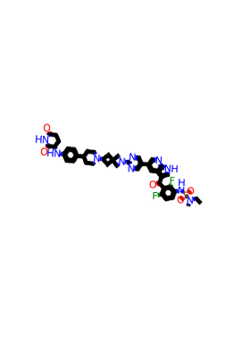 CCN(C)S(=O)(=O)Nc1ccc(F)c(C(=O)c2c[nH]c3ncc(-c4cnc(N5CC6(CC(N7CCC(c8ccc(NC9CCC(=O)NC9=O)cc8)CC7)C6)C5)nc4)cc23)c1F